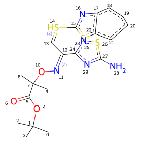 CC(C)(C)OC(=O)C(C)(C)O/N=C(\C=[SH]/c1nc2ccccc2s1)c1nsc(N)n1